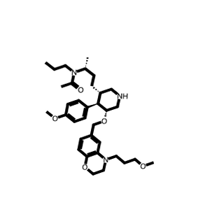 CCCN(C(C)=O)[C@H](C)CC[C@@H]1CNC[C@H](OCc2ccc3c(c2)N(CCCOC)CCO3)[C@H]1c1ccc(OC)cc1